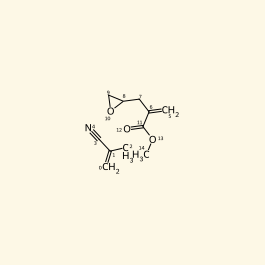 C=C(C)C#N.C=C(CC1CO1)C(=O)OC